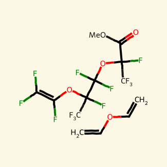 C=COC=C.COC(=O)C(F)(OC(F)(F)C(F)(OC(F)=C(F)F)C(F)(F)F)C(F)(F)F